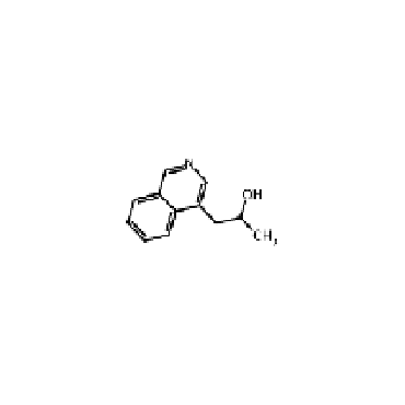 CC(O)Cc1cncc2ccccc12